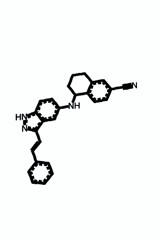 N#Cc1ccc2c(c1)CCCC2Nc1ccc2[nH]nc(C=Cc3ccccc3)c2c1